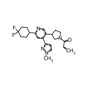 C=CC(=O)N1CCC(c2cnc(C3CCC(F)(F)CC3)cc2-c2ccn(C)n2)C1